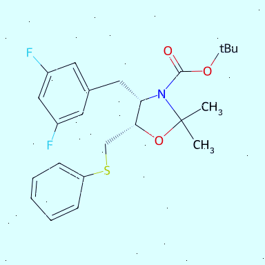 CC(C)(C)OC(=O)N1[C@@H](Cc2cc(F)cc(F)c2)[C@@H](CSc2ccccc2)OC1(C)C